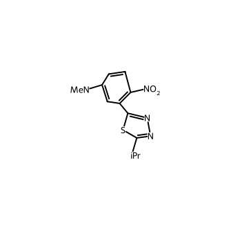 CNc1ccc([N+](=O)[O-])c(-c2nnc(C(C)C)s2)c1